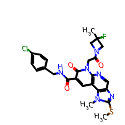 CSc1nc2cnc3c(cc(C(=O)NCc4ccc(Cl)cc4)c(=O)n3CC(=O)N3CC(C)(F)C3)c2n1C